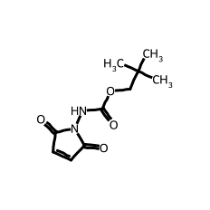 CC(C)(C)COC(=O)NN1C(=O)C=CC1=O